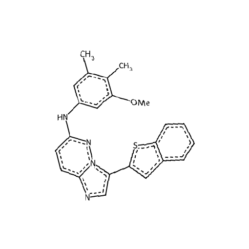 COc1cc(Nc2ccc3ncc(-c4cc5ccccc5s4)n3n2)cc(C)c1C